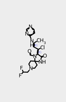 C/C(=C\C(Cl)=C1\C(=O)NC2(CCN(CC(F)F)CC2)N1C=O)Nc1ccncn1